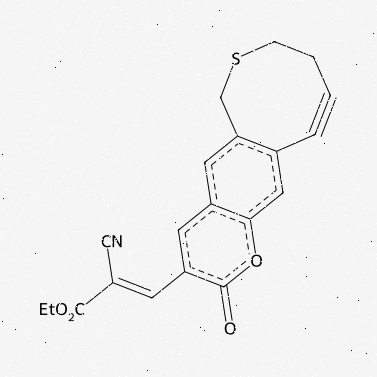 CCOC(=O)C(C#N)=Cc1cc2cc3c(cc2oc1=O)C#CCCSC3